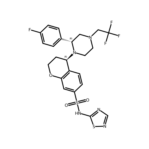 O=S(=O)(Nc1ncns1)c1ccc2c(c1)OCC[C@H]2N1CCN(CC(F)(F)F)C[C@H]1c1ccc(F)cc1